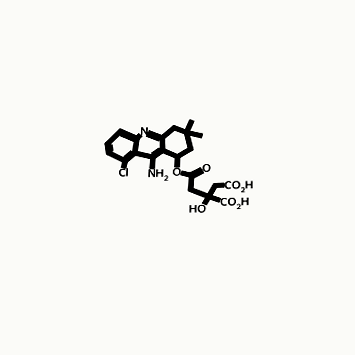 CC1(C)Cc2nc3cccc(Cl)c3c(N)c2C(OC(=O)CC(O)(CC(=O)O)C(=O)O)C1